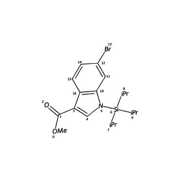 COC(=O)c1cn([Si](C(C)C)(C(C)C)C(C)C)c2cc(Br)ccc12